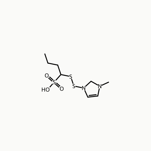 CCCC(SSN1C=CN(C)C1)S(=O)(=O)O